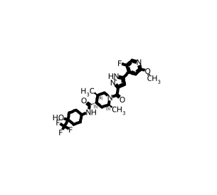 COc1cc(-c2cc(C(=O)N3C[C@H](C)[C@@H](C(=O)NC4CCC(O)(C(F)(F)F)CC4)C[C@@H]3C)n[nH]2)c(F)cn1